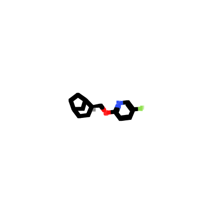 Fc1ccc(OC[C@H]2CCC3CCC2C3)nc1